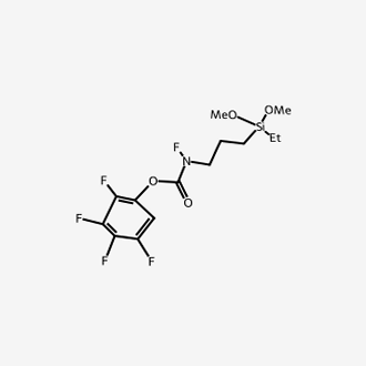 CC[Si](CCCN(F)C(=O)Oc1cc(F)c(F)c(F)c1F)(OC)OC